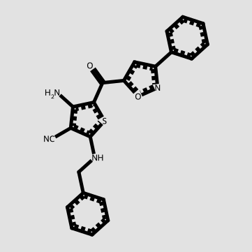 N#Cc1c(NCc2ccccc2)sc(C(=O)c2cc(-c3ccccc3)no2)c1N